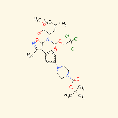 COC(=O)C(CC(C)C)N(C(=O)OCC(Cl)(Cl)Cl)c1onc(C)c1-c1ccc(N2CCN(C(=O)OC(C)(C)C)CC2)cc1